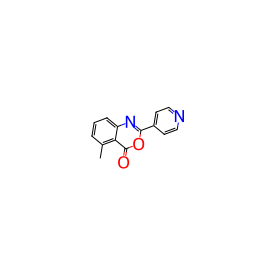 Cc1cccc2nc(-c3ccncc3)oc(=O)c12